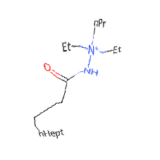 CCCCCCCCCC(=O)N[N+](CC)(CC)CCC